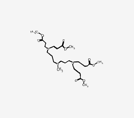 COC(=O)CCN(CCCN(C)CCCN(CCC(=O)OC)CCC(=O)OC)CCC(=O)OC